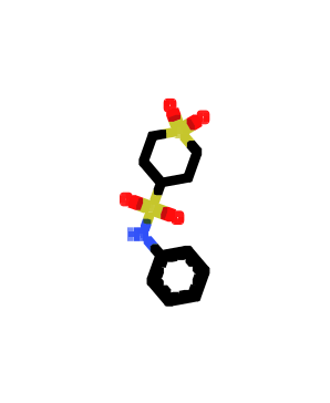 O=S1(=O)CCC(S(=O)(=O)Nc2ccccc2)CC1